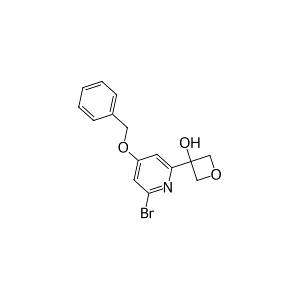 OC1(c2cc(OCc3ccccc3)cc(Br)n2)COC1